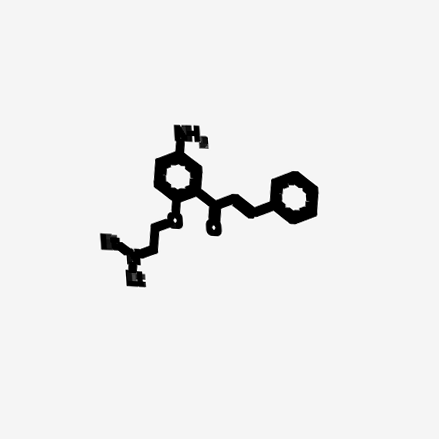 CCN(CC)CCOc1ccc(N)cc1C(=O)C=Cc1ccccc1